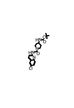 CC(C)(C)OC(=O)NC1CCN(C(=O)Nc2ccc3cc(Cl)ccc3n2)CC1